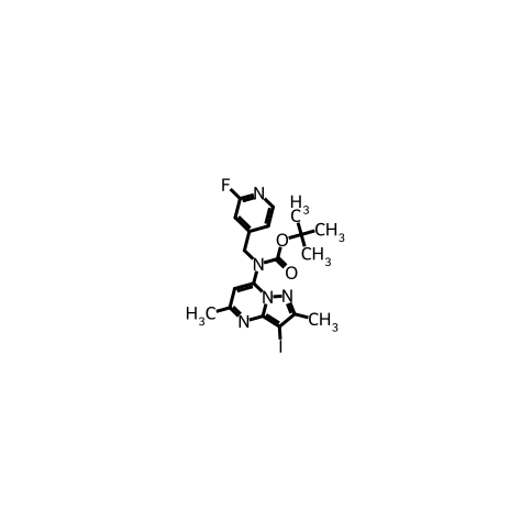 Cc1cc(N(Cc2ccnc(F)c2)C(=O)OC(C)(C)C)n2nc(C)c(I)c2n1